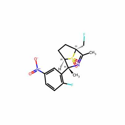 CC1=N[C@](C)(c2cc([N+](=O)[O-])ccc2F)[C@H]2CC[C@]1(CF)S2(=O)=O